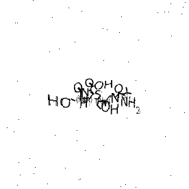 CC(C)[C@H](N)C(=O)NC[C@H]1OCC[C@H]1SC1=C(C(=O)O)N2C(=O)[C@@H](CCO)[C@H]2[C@H]1C